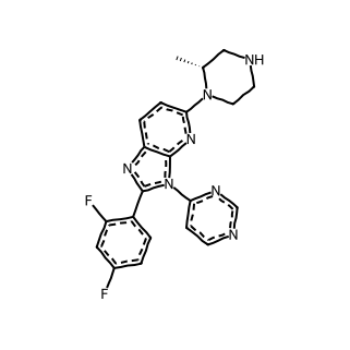 C[C@@H]1CNCCN1c1ccc2nc(-c3ccc(F)cc3F)n(-c3ccncn3)c2n1